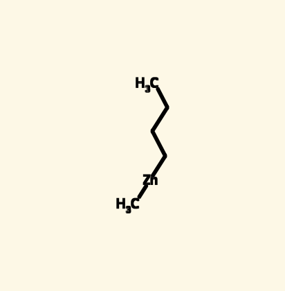 CCC[CH2][Zn][CH3]